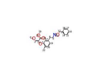 COC=C(Oc1cc(CC=NOCc2ccccc2)ccc1C)C(=O)OC